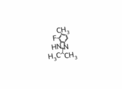 Cc1ccc2nc(C(C)C)[nH]c2c1F